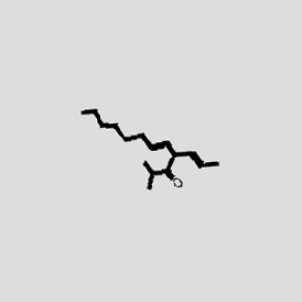 CC=CC(C=CCCCCCC)C(=O)C(C)C